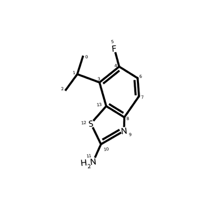 CC(C)c1c(F)ccc2nc(N)sc12